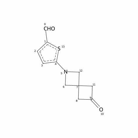 O=Cc1ccc(N2CC3(CC(=O)C3)C2)s1